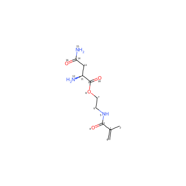 C=C(C)C(=O)NCCOC(=O)[C@@H](N)CC(N)=O